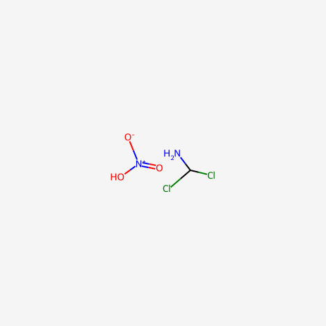 NC(Cl)Cl.O=[N+]([O-])O